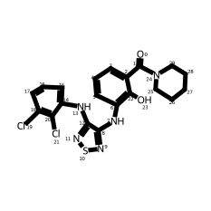 O=C(c1cccc(Nc2nsnc2Nc2cccc(Cl)c2Cl)c1O)N1CCCCC1